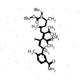 C=C(C/C(C(=C)C)=C(C(/C)=N\C)\C(I)=C/C(C)c1cc(C(N)=O)ccc1C)C[C@@H](C)N(C[C@@H](C)CC)C(=O)OC(C)(C)C